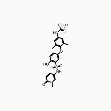 Cc1cc(NC(=O)C(=O)O)cc(C)c1Oc1ccc(O)c(S(=O)(=O)Nc2ccc(=O)n(C)c2)c1